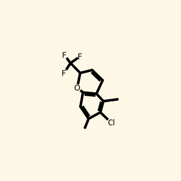 Cc1cc2c(c(C)c1Cl)C=CC(C(F)(F)F)O2